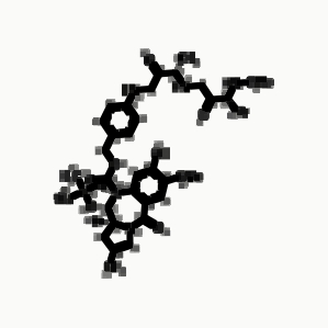 CON[C@H](C(=O)CN[C@@H](C)C(=O)CNc1ccc(COC(=O)N2c3cc(O)c(OC)cc3C(=O)N3C=C(C)C[C@H]3[C@@H]2O[Si](C)(C)C(C)(C)C)cc1)C(C)C